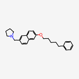 c1ccc(CCCCCOc2ccc3cc(CN4CCCC4)ccc3c2)cc1